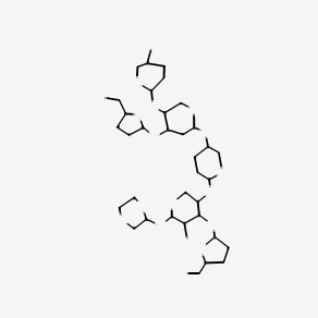 OCC1CCC(OC2CC(OC3CCC(OC4COC(OC5CCCOC5)C(O)C4OC4CCC(CO)O4)OC3)OCC2OC2CCC(O)CO2)O1